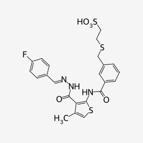 Cc1csc(NC(=O)c2cccc(CSCCS(=O)(=O)O)c2)c1C(=O)N/N=C/c1ccc(F)cc1